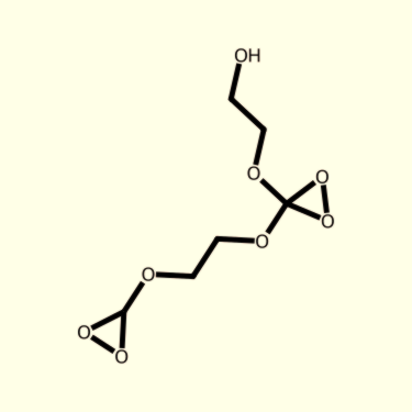 OCCOC1(OCCOC2OO2)OO1